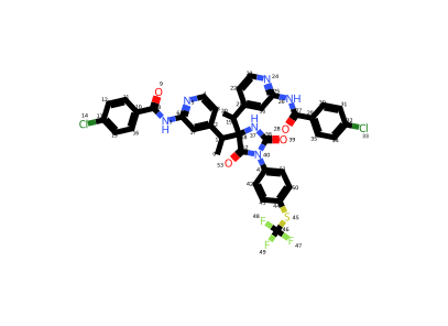 CC(c1ccnc(NC(=O)c2ccc(Cl)cc2)c1)C1(C(C)c2ccnc(NC(=O)c3ccc(Cl)cc3)c2)NC(=O)N(c2ccc(SC(F)(F)F)cc2)C1=O